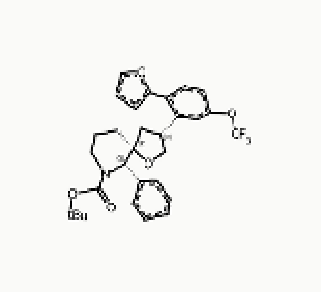 CC(C)(C)OC(=O)N1CCC[C@@]2(C[C@H](c3cc(OC(F)(F)F)ccc3-c3ccco3)CO2)[C@@H]1c1ccccc1